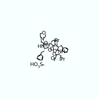 CC(C)C[C@H](NC(=O)[C@H](CCc1ccccc1)NC(=O)CN1CCOCC1)C(=O)N[C@@H](Cc1ccccc1)C(=O)N[C@@H](CC(C)C)C(=O)[C@@]1(C)CO1.CS(=O)(=O)O